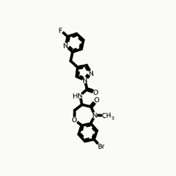 CN1C(=O)C(NC(=O)n2cc(Cc3cccc(F)n3)cn2)COc2ccc(Br)cc21